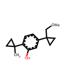 COCC1(c2ccc(C3(C)CC3)c(O)c2)CC1